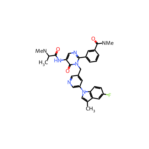 CNC(=O)c1cccc(-c2ncc(NC(=O)C(C)NC)c(=O)n2Cc2cncc(-n3cc(C)c4cc(F)ccc43)c2)c1